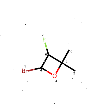 CC1(C)OC(Br)C1F